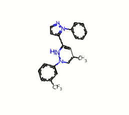 CC1=CN(c2cccc(C(F)(F)F)c2)NC(c2ccnn2-c2ccccc2)=C1